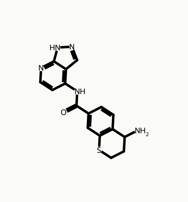 NC1CCSc2cc(C(=O)Nc3ccnc4[nH]ncc34)ccc21